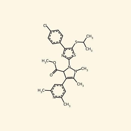 COC(=O)C1C(c2cc(C)nc(C)c2)=C(C)N(C)N1c1nc(-c2ccc(Cl)cc2)c(SC(C)C)s1